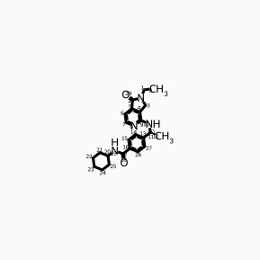 CCN1Cc2c(ccnc2N[C@@H](C)c2ccc(C(=O)NC3CCCCC3)cc2)C1=O